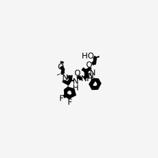 COC[C@@H](C)N1C[C@@H](NC(=O)Nc2c(C)c(OC[C@H](C)O)nn2-c2ccccc2)[C@H](c2ccc(F)c(F)c2)C1